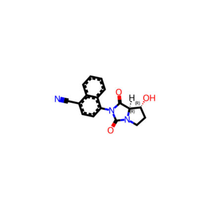 N#Cc1ccc(N2C(=O)[C@H]3[C@H](O)CCN3C2=O)c2ccccc12